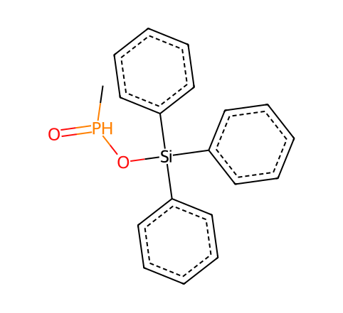 C[PH](=O)O[Si](c1ccccc1)(c1ccccc1)c1ccccc1